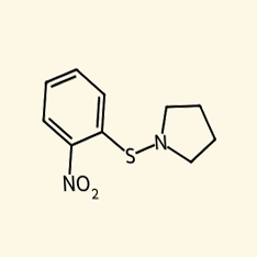 O=[N+]([O-])c1ccccc1SN1CCCC1